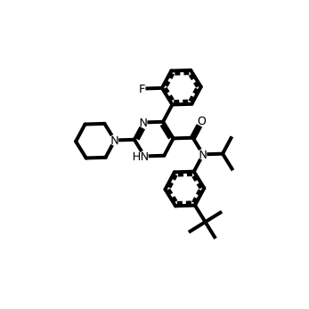 CC(C)N(C(=O)C1=C(c2ccccc2F)N=C(N2CCCCC2)NC1)c1cccc(C(C)(C)C)c1